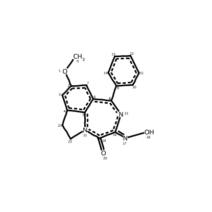 COc1cc2c3c(c1)c(-c1ccccc1)n/c(=N\O)c(=O)n3CC2